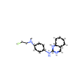 CN(CCF)c1ccc(Nc2ncc3ccccc3n2)cc1